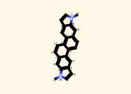 Cn1ccc2cc3c(ccc4c5cc6ccn(C)c6cc5ccc34)cc21